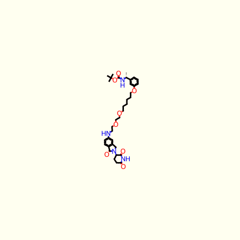 C[C@@H](NC(=O)OC(C)(C)C)c1cccc(OCCCCCCOCCOCCNc2ccc3c(c2)CN(C2CCC(=O)NC2=O)C3=O)c1